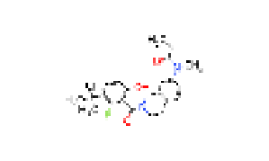 C=CC(=O)N(C)c1ccc2c(c1)CN(C(=O)c1c(O)ccc(C(C)(C)C)c1F)CC2